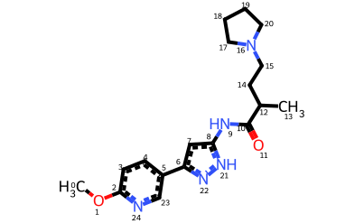 COc1ccc(-c2cc(NC(=O)C(C)CCN3CCCC3)[nH]n2)cn1